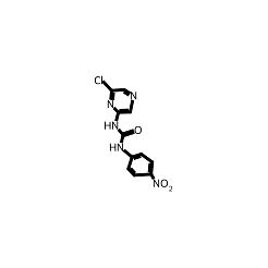 O=C(Nc1ccc([N+](=O)[O-])cc1)Nc1cncc(Cl)n1